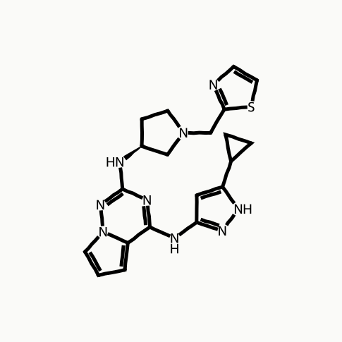 c1cc2c(Nc3cc(C4CC4)[nH]n3)nc(N[C@H]3CCN(Cc4nccs4)C3)nn2c1